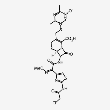 CO/N=C(\C(=O)N[C@@H]1C(=O)N2C(C(=O)O)=C(CSN3C[NH+]([O-])C(C)=NC3C)CS[C@H]12)c1csc(NC(=O)CCl)n1